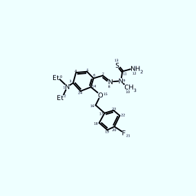 CCN(CC)c1ccc(C=NN(C)C(N)=S)c(OCc2ccc(F)cc2)c1